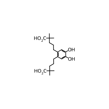 CC(C)(CCCc1cc(O)c(O)cc1CCCC(C)(C)C(=O)O)C(=O)O